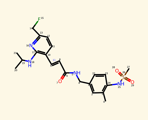 Cc1cc(CNC(=O)/C=C/c2ccc(CF)nc2NC(C)C)ccc1NS(C)(=O)=O